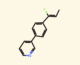 [CH2]/C=C(\F)c1ccc(-c2cccnc2)cc1